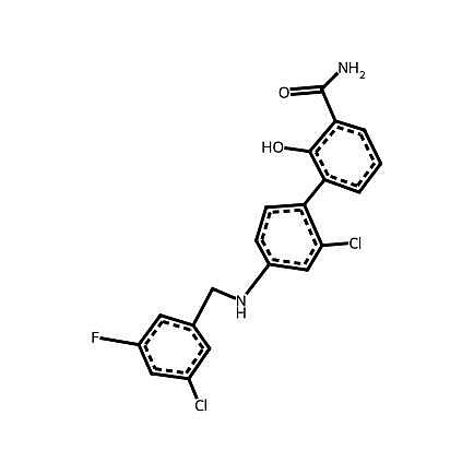 NC(=O)c1cccc(-c2ccc(NCc3cc(F)cc(Cl)c3)cc2Cl)c1O